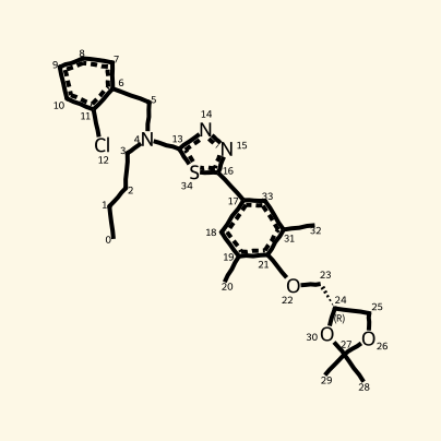 CCCCN(Cc1ccccc1Cl)c1nnc(-c2cc(C)c(OC[C@@H]3COC(C)(C)O3)c(C)c2)s1